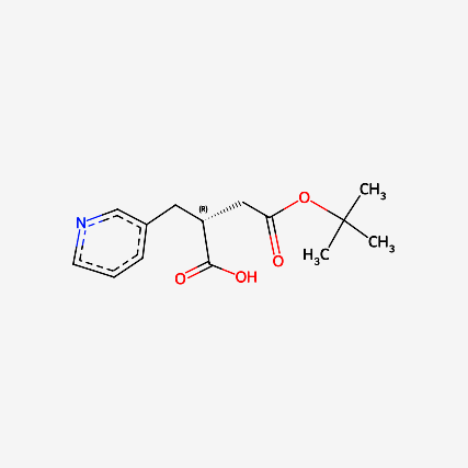 CC(C)(C)OC(=O)C[C@@H](Cc1cccnc1)C(=O)O